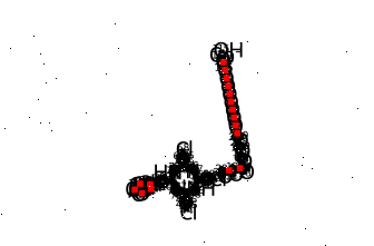 C1CCOC1.C1CCOC1.C1CCOC1.C1CCOC1.C1CCOC1.C1CCOC1.Clc1ccc(-c2c3nc(c(-c4ccc(Cl)cc4)c4ccc([nH]4)c(-c4ccc(Cl)cc4)c4nc(c(-c5ccc(Cl)cc5)c5ccc2[nH]5)C=C4)C=C3)cc1.[Al+3].[C]=O.[C]=O.[C]=O.[C]=O.[C]=O.[C]=O.[C]=O.[C]=O.[C]=O.[C]=O.[C]=O.[C]=O.[O]=[Co-][OH].[O]=[Co-][OH].[O]=[Co-][OH]